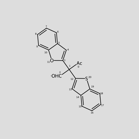 CC(=O)C([C]=O)(c1cc2ccccc2o1)c1cc2ccccc2s1